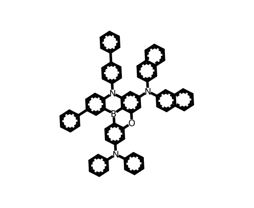 c1ccc(-c2ccc(N3c4ccc(-c5ccccc5)cc4B4c5ccc(N(c6ccccc6)c6ccccc6)cc5Oc5cc(N(c6ccc7ccccc7c6)c6ccc7ccccc7c6)cc3c54)cc2)cc1